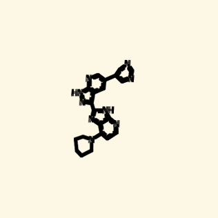 c1ncc(-c2cnc3[nH]nc(-c4nc5c(N6CCCCC6)ccnc5[nH]4)c3c2)cn1